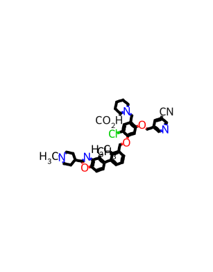 Cc1c(COc2cc(OCc3cncc(C#N)c3)c(CN3CCCCC3C(=O)O)cc2Cl)cccc1-c1ccc2oc(C3CCN(C)CC3)nc2c1C